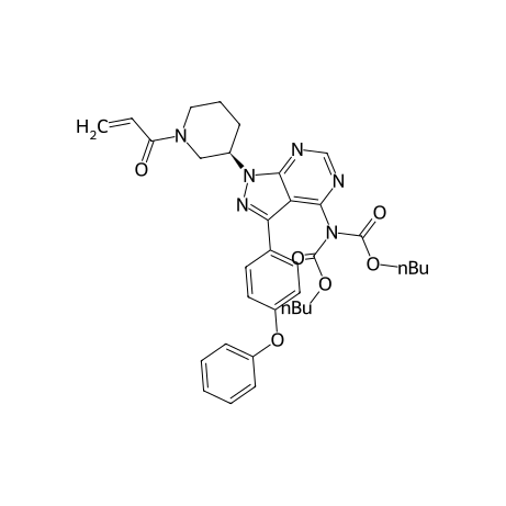 C=CC(=O)N1CCC[C@@H](n2nc(-c3ccc(Oc4ccccc4)cc3)c3c(N(C(=O)OCCCC)C(=O)OCCCC)ncnc32)C1